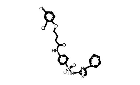 O=C(CCCOc1ccc(Cl)cc1Cl)Nc1ccc(S(=O)(=O)Nc2nc(-c3ccccc3)cs2)cc1